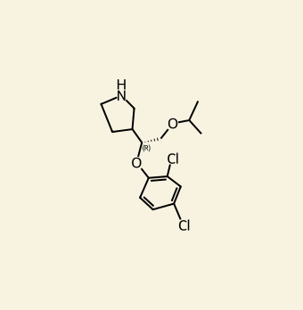 CC(C)OC[C@H](Oc1ccc(Cl)cc1Cl)C1CCNC1